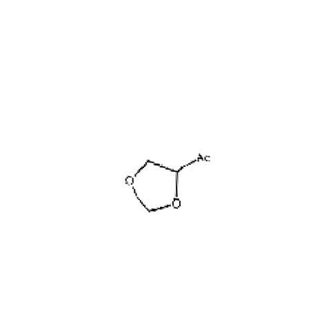 CC(=O)C1COCO1